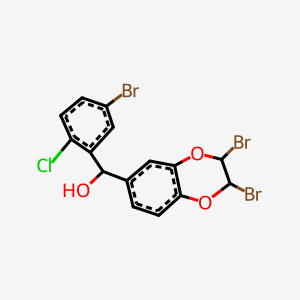 OC(c1ccc2c(c1)OC(Br)C(Br)O2)c1cc(Br)ccc1Cl